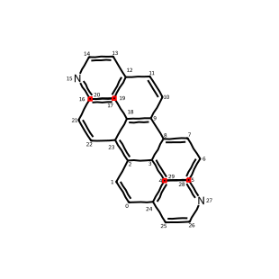 C(=C/c1c2ccccc2c(/C=C\c2ccncc2)c2ccccc12)/c1ccncc1